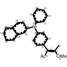 CO/C(C)=C(\C(C)=O)c1ccc(N(c2ccccc2)c2ccc3ccccc3c2)cc1